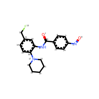 O=Nc1ccc(C(=O)Nc2cc(CF)ccc2N2CCCCC2)cc1